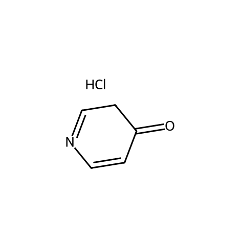 Cl.O=C1C=CN=CC1